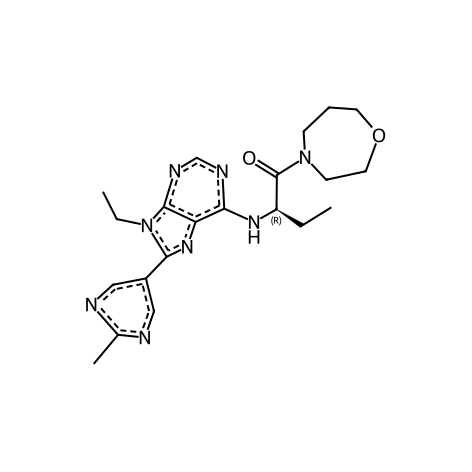 CC[C@@H](Nc1ncnc2c1nc(-c1cnc(C)nc1)n2CC)C(=O)N1CCCOCC1